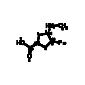 CN[C@H]1CN(C(=O)O)C[C@@H]1F